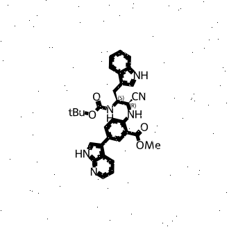 COC(=O)c1cc(-c2c[nH]c3ncccc23)ccc1N[C@@H](C#N)[C@H](Cc1c[nH]c2ccccc12)NC(=O)OC(C)(C)C